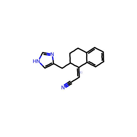 N#C/C=C1/c2ccccc2CCC1Cc1c[nH]cn1